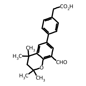 CC1(C)CC(C)(C)c2cc(-c3ccc(CC(=O)O)cc3)cc(C=O)c2O1